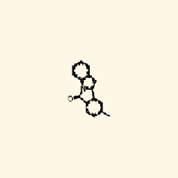 Cc1ccc2c(c1)-c1cc3ccccc3n1C2=O